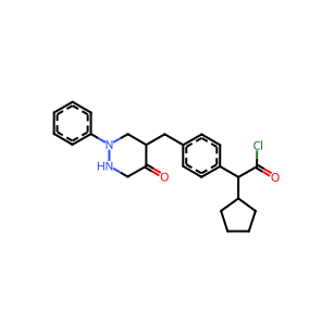 O=C1CNN(c2ccccc2)CC1Cc1ccc(C(C(=O)Cl)C2CCCC2)cc1